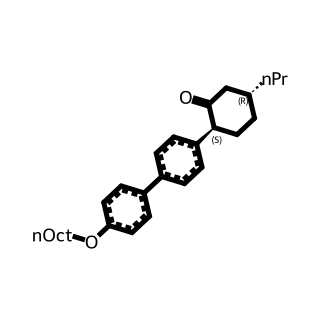 CCCCCCCCOc1ccc(-c2ccc([C@@H]3CC[C@@H](CCC)CC3=O)cc2)cc1